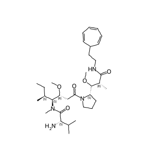 CC[C@H](C)[C@@H]([C@@H](CC(=O)N1CCC[C@H]1C(OC)[C@@H](C)C(=O)NCCC1C=CC=CC=C1)OC)N(C)C(=O)[C@@H](N)C(C)C